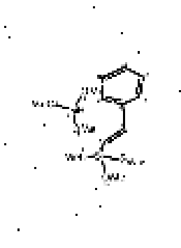 CO[SiH](OC)OC.CO[Si](C=Cc1ccccc1)(OC)OC